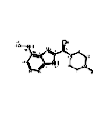 CN1CCN(C(=O)c2nc3c(NO)cccc3[nH]2)CC1